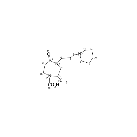 CC1CN(CCCN2CCCCC2)C(=O)CCN1C(=O)O